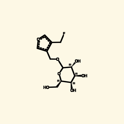 OC[C@H]1OC(OCc2cocc2CF)[C@H](O)[C@@H](O)[C@H]1O